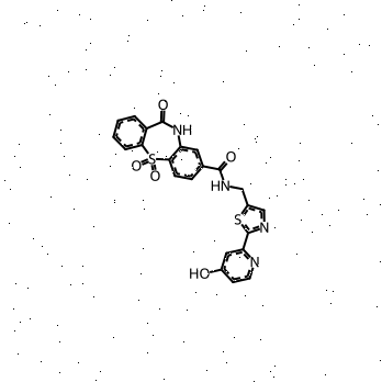 O=C(NCc1cnc(-c2cc(O)ccn2)s1)c1ccc2c(c1)NC(=O)c1ccccc1S2(=O)=O